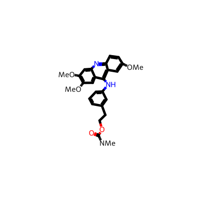 CNC(=O)OCCc1cccc(Nc2c3cc(OC)ccc3nc3cc(OC)c(OC)cc23)c1